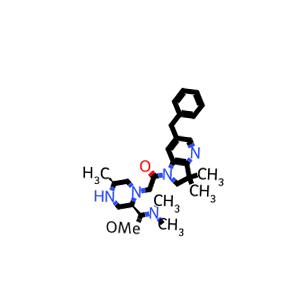 COC([C@H]1CN[C@H](C)CN1CC(=O)N1CC(C)(C)c2ncc(Cc3ccccc3)cc21)N(C)C